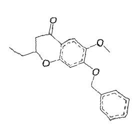 CCC1CC(=O)c2cc(OC)c(OCc3ccccc3)cc2O1